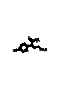 CC(C)(C)c1ccc(N(CCC(=O)O)C(N)=O)cc1